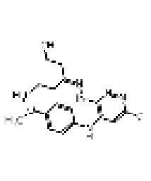 CCCC(CCC)=NNc1nnc(Cl)cc1Nc1ccc(OC)cc1